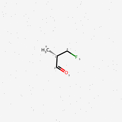 C[C@@H]([C]=O)CF